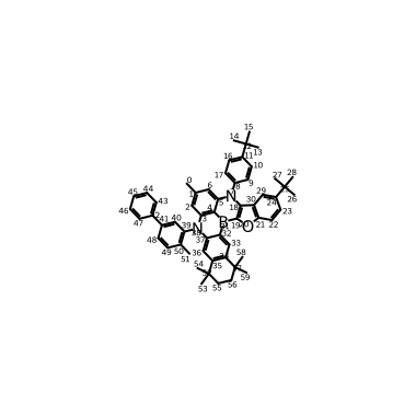 Cc1cc2c3c(c1)N(c1ccc(C(C)(C)C)cc1)c1c(oc4ccc(C(C)(C)C)cc14)B3c1cc3c(cc1N2c1cc(-c2ccccc2)ccc1C)C(C)(C)CCC3(C)C